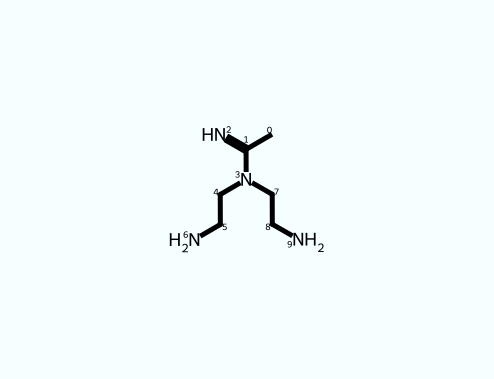 CC(=N)N(CCN)CCN